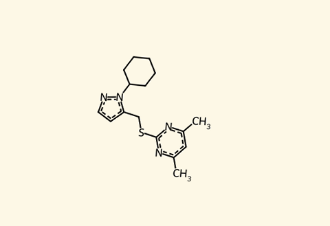 Cc1cc(C)nc(SCc2ccnn2C2CCCCC2)n1